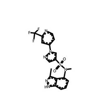 Cc1n[nH]c2cccc(N(C)S(=O)(=O)c3cnn(-c4ccnc(C(F)(F)F)c4)c3)c12